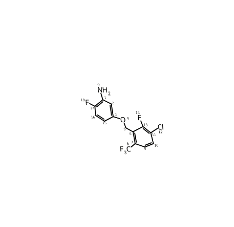 Nc1cc(OCc2c(C(F)(F)F)ccc(Cl)c2F)ccc1F